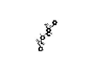 O=C1CN(c2ccccc2)C(=O)N1c1ccc(Oc2ccnc3cc(OCc4ccccc4)c(CO)cc23)c(F)c1